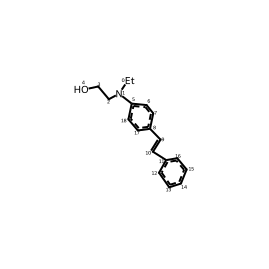 CCN(CCO)c1ccc(C=Cc2ccccc2)cc1